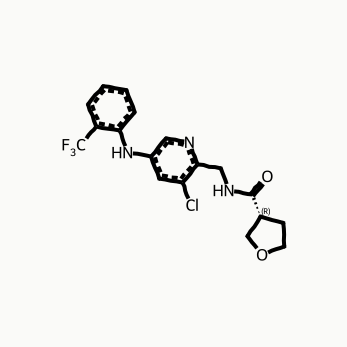 O=C(NCc1ncc(Nc2ccccc2C(F)(F)F)cc1Cl)[C@@H]1CCOC1